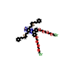 BrCCOCCOCCOCCOc1ccc(-c2nc3c(C=Cc4ccc(C=Cc5ccccc5)s4)c4nsnc4c(C=Cc4ccc(C=Cc5ccccc5)s4)c3nc2-c2ccc(OCCOCCOCCOCCBr)cc2)cc1